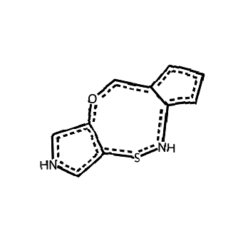 c1cc2coc3c[nH]cc3s[nH]c-2c1